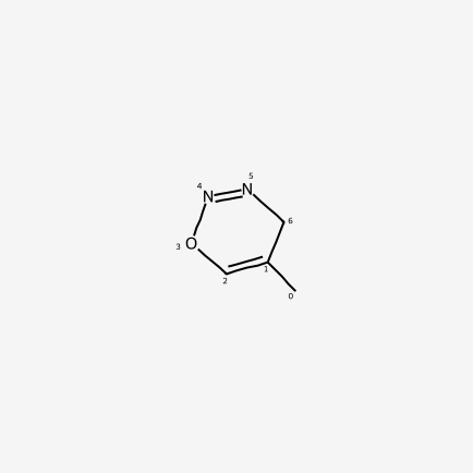 CC1=CON=NC1